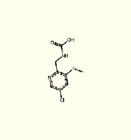 CSc1cc(Cl)cnc1CNC(=O)O